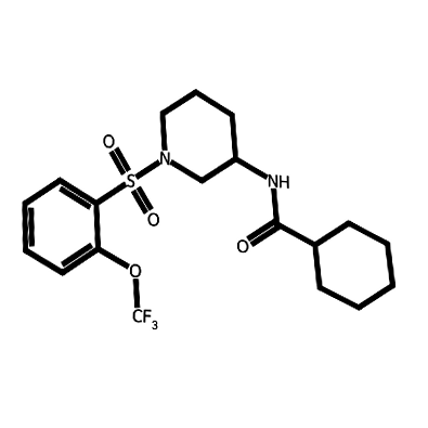 O=C(NC1CCCN(S(=O)(=O)c2ccccc2OC(F)(F)F)C1)C1CCCCC1